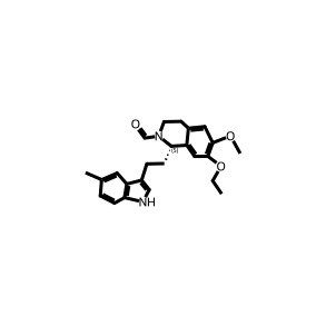 CCOc1cc2c(cc1OC)CCN(C=O)[C@H]2CCc1c[nH]c2ccc(C)cc12